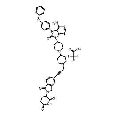 Nc1ncnc2c1n(-c1ccc(Oc3ccccc3)cc1)c(=O)n2C1CCN(C2CCN(CC#Cc3ccc4c(c3)CN(C3CCC(=O)NC3=O)C4=O)CC2)CC1.O=C(O)C(F)(F)F